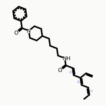 C=CC(/C=C/C(=O)NCCCCC1CCN(C(=O)c2ccccc2)CC1)=C\C=C/C